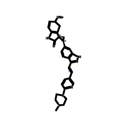 COC1C=CC2=C(C1)[C@]1(C[C@H]1c1ccc3c(/C=C/c4ccc(N5CCN(C)CC5)nc4)n[nH]c3c1)C(=O)N2